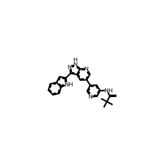 C=C(Nc1cncc(-c2cnc3[nH]nc(-c4cc5ccccc5[nH]4)c3c2)c1)C(C)(C)C